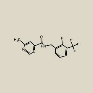 Cc1cc(C(=O)NCc2cccc(C(F)(F)F)c2F)ncn1